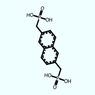 O=P(O)(O)Cc1ccc2cc(CP(=O)(O)O)ccc2c1